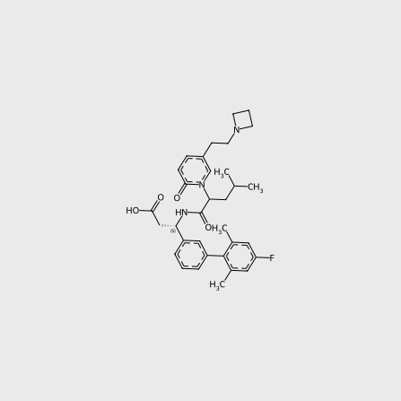 Cc1cc(F)cc(C)c1-c1cccc([C@H](CC(=O)O)NC(=O)C(CC(C)C)n2cc(CCN3CCC3)ccc2=O)c1